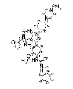 CC(=O)O.COc1cc(-c2nn(C3CCC(N4CCN(C)CC4)CC3)c3ncnc(N)c23)ccc1NC(=O)NCc1ccccc1